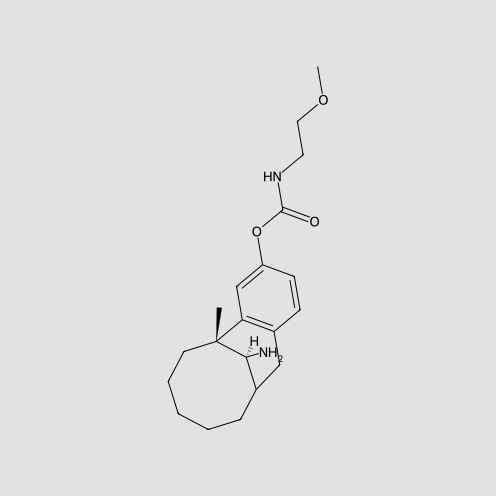 COCCNC(=O)Oc1ccc2c(c1)[C@@]1(C)CCCCCC(C2)[C@@H]1N